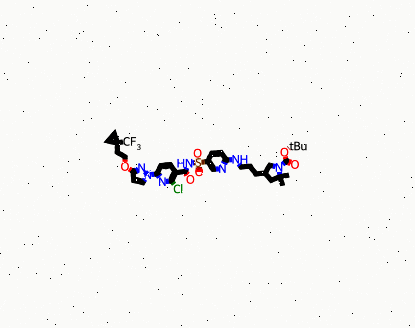 CC(C)(C)OC(=O)N1CC(CCCNc2ccc(S(=O)(=O)NC(=O)c3ccc(-n4ccc(OCCC5(C(F)(F)F)CC5)n4)nc3Cl)cn2)CC1(C)C